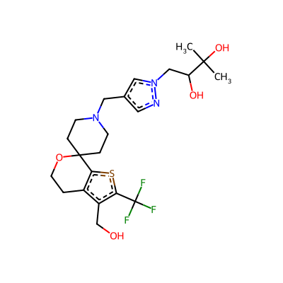 CC(C)(O)C(O)Cn1cc(CN2CCC3(CC2)OCCc2c3sc(C(F)(F)F)c2CO)cn1